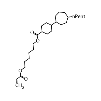 C=CC(=O)OCCCCCCOC(=O)C1CCC(C2CCCC(CCCCC)CC2)CC1